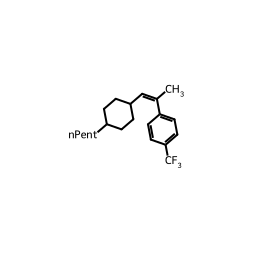 CCCCCC1CCC(C=C(C)c2ccc(C(F)(F)F)cc2)CC1